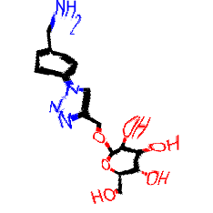 NCc1ccc(-n2cc(COC3O[C@H](CO)[C@@H](O)C(O)C3O)nn2)cc1